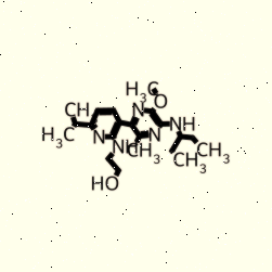 CCC(CC)Nc1nc(C)c(-c2ccc(C(C)C)nc2NCCO)nc1OC